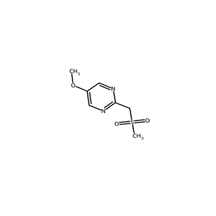 COc1cnc(CS(C)(=O)=O)nc1